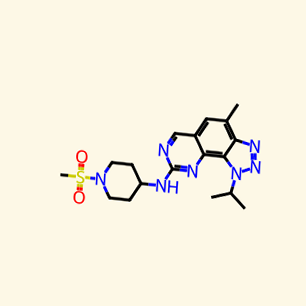 Cc1cc2cnc(NC3CCN(S(C)(=O)=O)CC3)nc2c2c1nnn2C(C)C